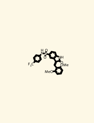 COc1cccc(OC)c1C=C1C(=O)Nc2ccc(S(=O)(=O)Nc3ccc(C(F)(F)F)cc3)cc21